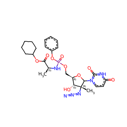 C[C@H](NP(=O)(OC[C@H]1OC(n2ccc(=O)[nH]c2=O)[C@](C)(N=[N+]=[N-])[C@@H]1O)Oc1ccccc1)C(=O)OC1CCCCC1